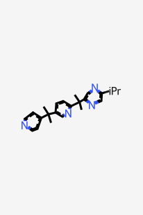 CC(C)c1cnc(C(C)(C)c2ccc(C(C)(C)c3ccncc3)cn2)cn1